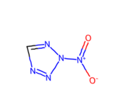 O=[N+]([O-])n1ncnn1